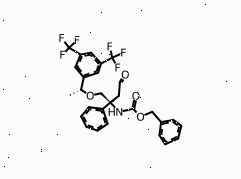 C[C@@H](OC[C@@](CC=O)(NC(=O)OCc1ccccc1)c1ccccc1)c1cc(C(F)(F)F)cc(C(F)(F)F)c1